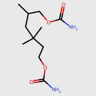 CC(COC(N)=O)CC(C)(C)CCOC(N)=O